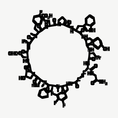 CCCC[C@H]1C(=O)N2C[C@@H](O)C[C@@H]2C(=O)N[C@@H](COC=O)C(=O)N[C@@H](C(C)C)C(=O)N(C)[C@@H](Cc2ccc(F)cc2)C(=O)N[C@@H](CCC(=O)O)C(=O)N2CCC[C@@H]2C(=O)N[C@@H](Cc2c[nH]c3ccccc23)C(=O)N[C@@H](Cc2ccc(O)cc2)C(=O)N[C@@H](CC(C)C)C(=O)N[C@H](C(=O)NCC(N)=O)CSCC(=O)N[C@@H](Cc2cc(F)c(F)c(F)c2)C(=O)N(C)[C@@H](Cc2ccccc2)C(=O)N1C